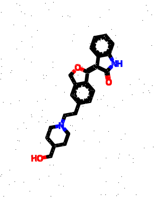 O=C1Nc2ccccc2/C1=C1\OCc2cc(CCN3CCC(CO)CC3)ccc21